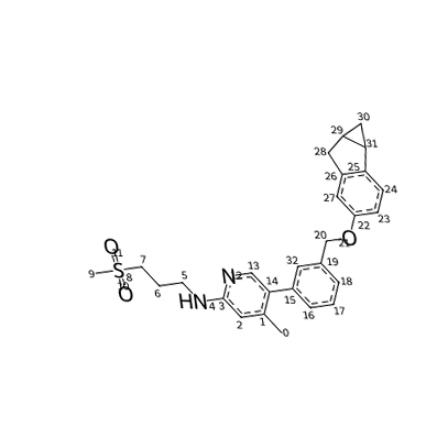 Cc1cc(NCCCS(C)(=O)=O)ncc1-c1cccc(COc2ccc3c(c2)CC2CC32)c1